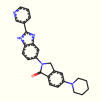 O=C1c2ccc(N3CCCCC3)cc2CN1c1ccc2[nH]c(-c3cccnc3)nc2c1